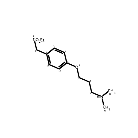 CCOC(=O)Cc1ccc(OCCCN(C)C)cc1